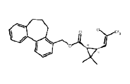 CC1(C)[C@H](C=C(Cl)C(F)(F)F)[C@@H]1C(=O)OCc1cccc2c1CCCc1ccccc1-2